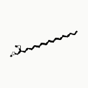 CCCCCCCCCCCCCCCCC(COC)OC